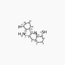 NCc1cc2cccc(S)c2nc1-c1cccc(F)c1